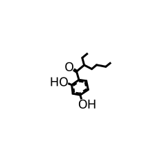 CCCCC(CC)C(=O)c1ccc(O)cc1O